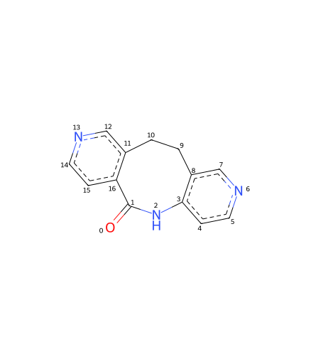 O=C1Nc2ccncc2CCc2cnccc21